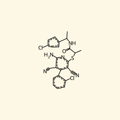 CC(Sc1nc(N)c(C#N)c(-c2ccccc2Cl)c1C#N)C(=O)NC(C)c1ccc(Cl)cc1